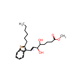 CCCCCCc1sc2ccccc2c1/C=C/C(O)C(O)CCCC(=O)OC